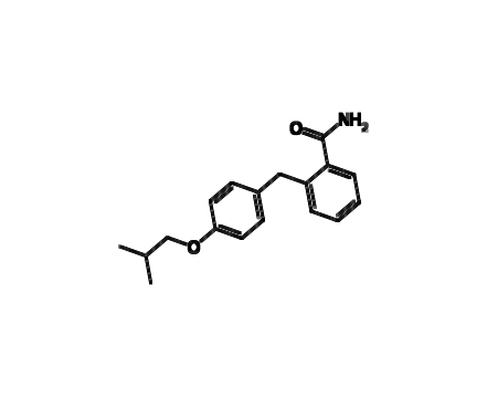 CC(C)COc1ccc(Cc2ccccc2C(N)=O)cc1